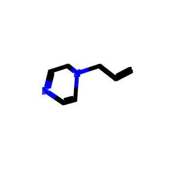 C=CCN1C=CN=CC1